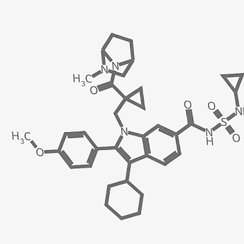 COc1ccc(-c2c(C3CCCCC3)c3ccc(C(=O)NS(=O)(=O)NC4CC4)cc3n2CC2(C(=O)N3C4CCC3N(C)C4)CC2)cc1